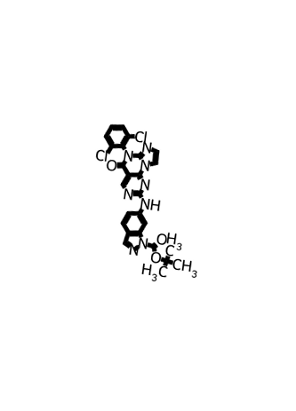 CC(C)(C)OC(=O)n1ncc2ccc(Nc3ncc4c(=O)n(-c5c(Cl)cccc5Cl)c5nccn5c4n3)cc21